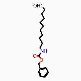 O=[C]CCCCCCCCCCNC(=O)OCc1ccccc1